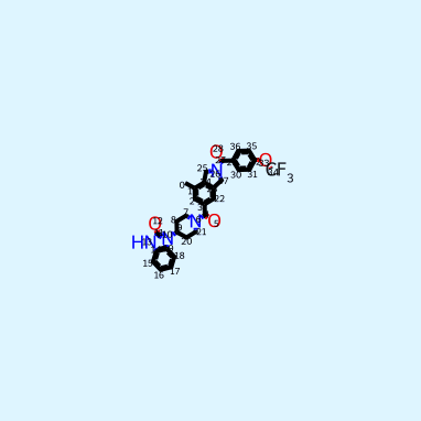 Cc1cc(C(=O)N2CCC(n3c(=O)[nH]c4ccccc43)CC2)cc2c1CN(C(=O)c1ccc(OC(F)(F)F)cc1)C2